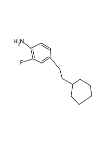 Nc1ccc(CCC2CCCCC2)cc1F